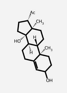 CC(=O)[C@H]1CC[C@]2(O)[C@@H]3CCC4=CC(O)CC[C@]4(C)[C@H]3CC[C@]12C